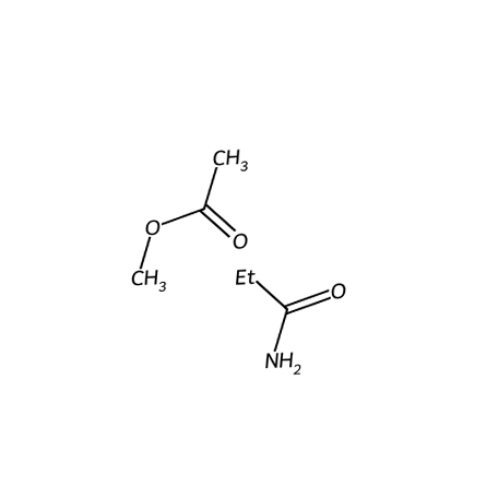 CCC(N)=O.COC(C)=O